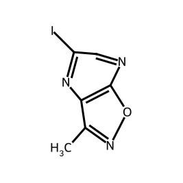 Cc1noc2ncc(I)nc12